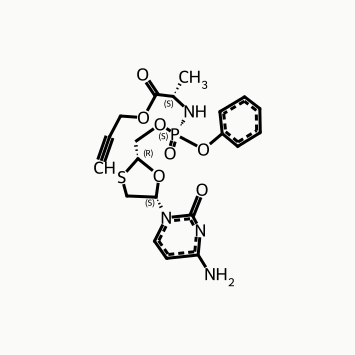 C#CCOC(=O)[C@H](C)N[P@](=O)(OC[C@@H]1O[C@H](n2ccc(N)nc2=O)CS1)Oc1ccccc1